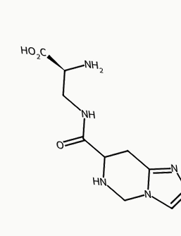 N[C@@H](CNC(=O)C1Cc2nccn2CN1)C(=O)O